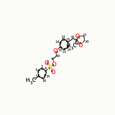 Cc1ccc(S(=O)(=O)OCCOc2ccc(CC3(C)OCCO3)cc2)cc1